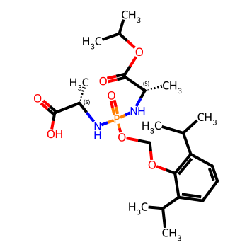 CC(C)OC(=O)[C@H](C)NP(=O)(N[C@@H](C)C(=O)O)OCOc1c(C(C)C)cccc1C(C)C